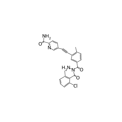 Cc1ccc(C(=O)N(N)C(=O)c2c(C)cccc2Cl)cc1C#Cc1ccc(C(N)=O)nc1